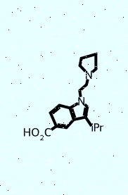 CC(C)c1cn(CCN2CCCC2)c2ccc(C(=O)O)cc12